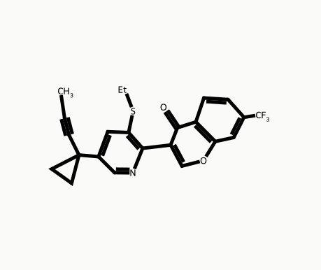 CC#CC1(c2cnc(-c3coc4cc(C(F)(F)F)ccc4c3=O)c(SCC)c2)CC1